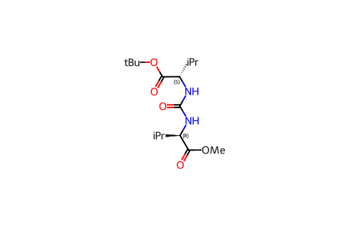 COC(=O)[C@H](NC(=O)N[C@H](C(=O)OC(C)(C)C)C(C)C)C(C)C